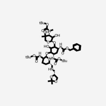 CN(C(=O)OC(C)(C)C)[C@@H]1C(O)[C@@H](OC2C(O)C(O[C@H]3O[C@H](CNC[C@@H]4COC(C)(C)O4)CCC3NC(=O)OC(C)(C)C)[C@@H](NC(=O)OC(C)(C)C)C[C@H]2NC(=O)OCc2ccccc2)OCC1(C)O